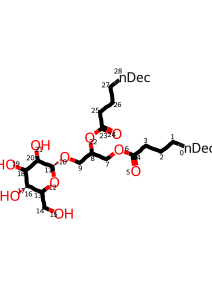 CCCCCCCCCCCCCC(=O)OCC(CO[C@@H]1OC(CO)[C@H](O)C(O)C1O)OC(=O)CCCCCCCCCCCCC